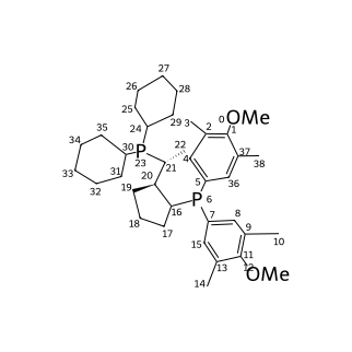 COc1c(C)cc(P(c2cc(C)c(OC)c(C)c2)C2CCC[C@H]2[C@@H](C)P(C2CCCCC2)C2CCCCC2)cc1C